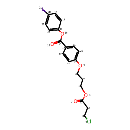 O=C(CCCl)OCCCOc1ccc(C(=O)Oc2ccc(I)cc2)cc1